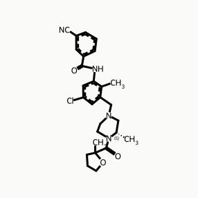 Cc1c(CN2CCN(C(=O)C3(C)CCCO3)[C@@H](C)C2)cc(Cl)cc1NC(=O)c1cccc(C#N)c1